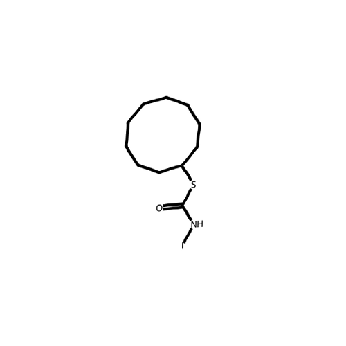 O=C(NI)SC1CCCCCCCCC1